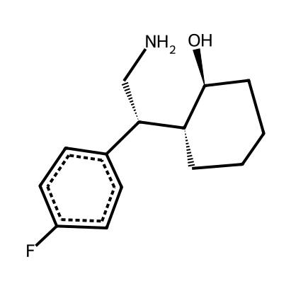 NC[C@@H](c1ccc(F)cc1)[C@H]1CCCC[C@@H]1O